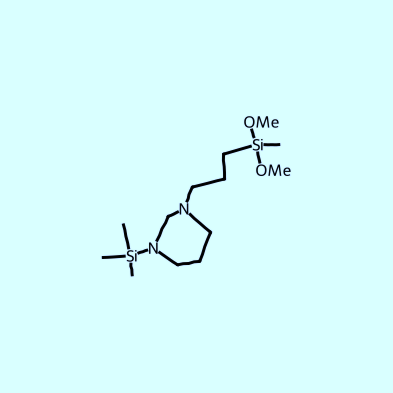 CO[Si](C)(CCCN1CCCN([Si](C)(C)C)C1)OC